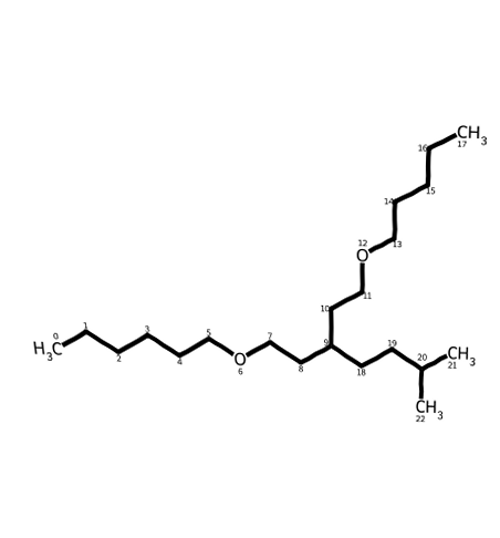 CCCCCCOCCC(CCOCCCCC)CCC(C)C